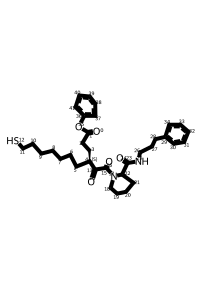 O=C(CC[C@H](CCCCCCCS)C(=O)C(=O)N1CCCCC1C(=O)NCCCc1ccccc1)Oc1ccccc1